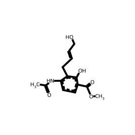 COC(=O)c1ccc(NC(C)=O)c(CC=CCO)c1O